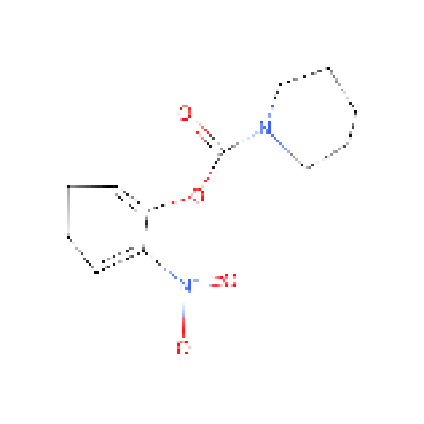 O=C(Oc1ccccc1[N+](=O)[O-])N1CCCCC1